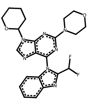 FC(F)c1nc2ccccc2n1-c1nc(N2CCOCC2)nc2c1ncn2C1CCCCO1